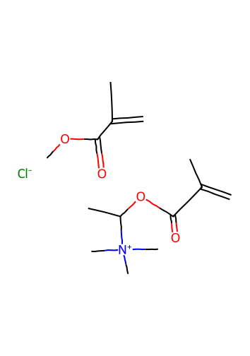 C=C(C)C(=O)OC.C=C(C)C(=O)OC(C)[N+](C)(C)C.[Cl-]